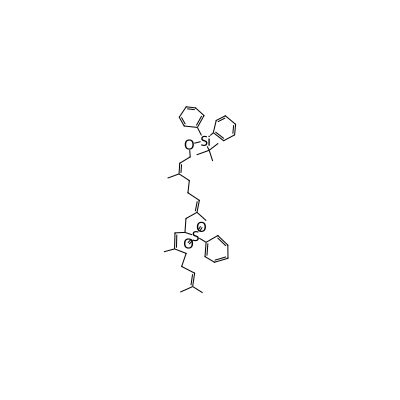 CC(C)=CCC/C(C)=C\C(C/C(C)=C\CC/C(C)=C\CO[Si](c1ccccc1)(c1ccccc1)C(C)(C)C)S(=O)(=O)c1ccccc1